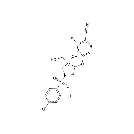 N#Cc1ccc(OC2CN(S(=O)(=O)c3ccc(Cl)cc3Cl)C[C@@]2(O)CO)cc1F